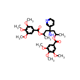 COc1cc(C(=O)OC(C)CC(N)(CC(C)OC(=O)c2cc(OC)c(OC)c(OC)c2)c2cccnc2)cc(OC)c1OC